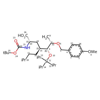 COc1ccc(CO[C@@H](C)[C@H](O[Si](C(C)C)(C(C)C)C(C)C)[C@@H](CCC(C)C)C[C@H](NC(=O)OC(C)(C)C)C(=O)O)cc1